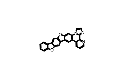 c1ccc2c(c1)oc1cc3c(cc12)oc1cc2c(cc13)c1cccnc1c1nccn21